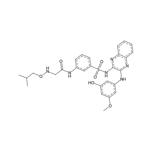 COc1cc(O)cc(Nc2nc3ccccc3nc2NS(=O)(=O)c2cccc(NC(=O)CNOCC(C)C)c2)c1